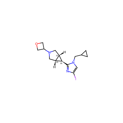 Ic1cn(CC2CC2)c([C@H]2[C@@H]3CN(C4COC4)C[C@@H]32)n1